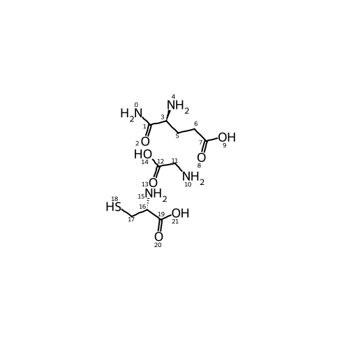 NC(=O)[C@@H](N)CCC(=O)O.NCC(=O)O.N[C@@H](CS)C(=O)O